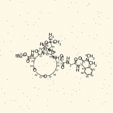 CN(C)C(=O)[C@@H](NC(=O)CNC(=O)C(=O)[C@@H]1CCCCOCCOCC[C@H](NC(=O)OC(C)(C)C)C(=O)N2C[C@@H]3OC(C)(C)C[C@@H]3[C@H]2C(=O)N1)c1ccccc1